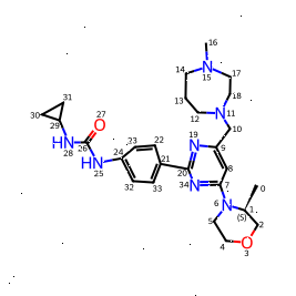 C[C@H]1COCCN1c1cc(CN2CCCN(C)CC2)nc(-c2ccc(NC(=O)NC3CC3)cc2)n1